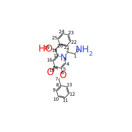 NCCn1cc(OCc2ccccc2)c(=O)cc1C(O)c1ccccc1